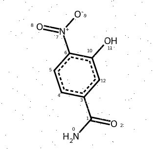 NC(=O)c1ccc([N+](=O)[O-])c(O)c1